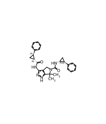 CC1(C)c2[nH]nc(NC(=O)[C@@H]3C[C@H]3c3ccccc3)c2CN1C(=O)N[C@@H]1C[C@H]1c1ccccc1